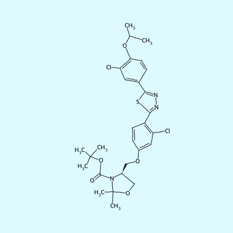 CC(C)Oc1ccc(-c2nnc(-c3ccc(OC[C@H]4COC(C)(C)N4C(=O)OC(C)(C)C)cc3Cl)s2)cc1Cl